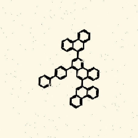 c1ccc(-c2ccc(-c3cc(-c4cc5ccccc5c5ccccc45)nc4c3cc(-c3cc5ccccc5c5ccccc35)c3ccccc34)cc2)nc1